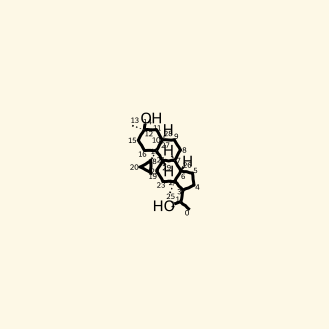 CC(O)C1CC[C@H]2[C@@H]3CC[C@@H]4C[C@](C)(O)CC[C@]4(C4CC4)[C@H]3CC[C@]12C